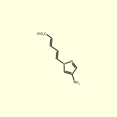 CCOC(=O)C=CC=Cn1cc(N)cn1